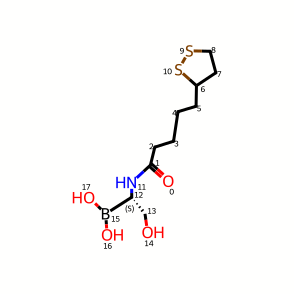 O=C(CCCCC1CCSS1)N[C@H](CO)B(O)O